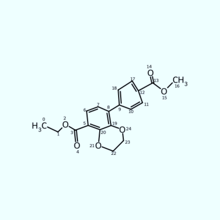 CCOC(=O)c1ccc(-c2ccc(C(=O)OC)cc2)c2c1OCCO2